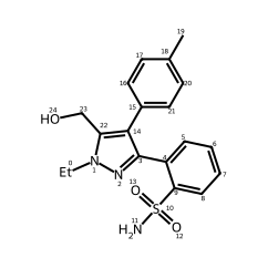 CCn1nc(-c2ccccc2S(N)(=O)=O)c(-c2ccc(C)cc2)c1CO